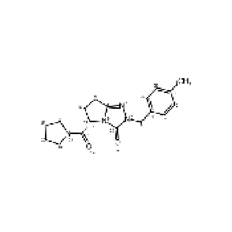 Cc1ccc(Cn2nc3n(c2=O)[C@H](C(=O)N2CCCC2)CC3)cc1